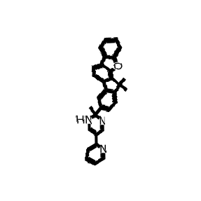 CC1(c2ccc3c(c2)-c2ccc4c(oc5ccccc54)c2C3(C)C)N=CC(c2ccccn2)=CN1